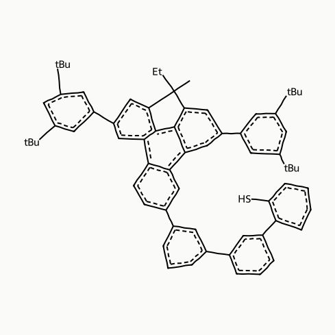 CCC1(C)c2cc(-c3cc(C(C)(C)C)cc(C(C)(C)C)c3)cc3c4ccc(-c5cccc(-c6cccc(-c7ccccc7S)c6)c5)cc4c4cc(-c5cc(C(C)(C)C)cc(C(C)(C)C)c5)cc1c4c23